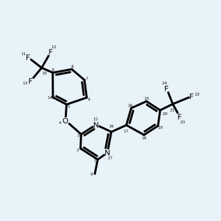 Cc1cc(Oc2cccc(C(F)(F)F)c2)nc(-c2ccc(C(F)(F)F)cc2)n1